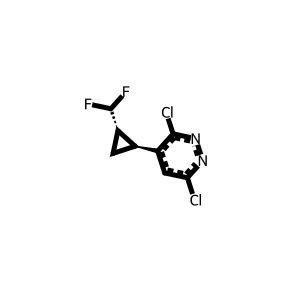 FC(F)[C@H]1C[C@@H]1c1cc(Cl)nnc1Cl